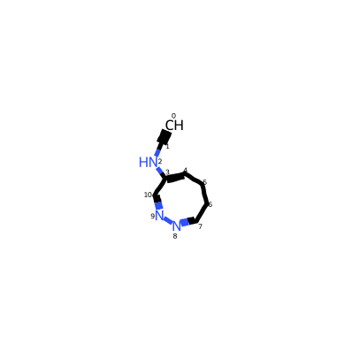 C#CNC1=CCC/C=N\N=C/1